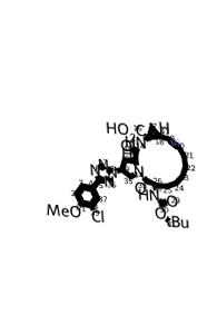 COc1ccc(-c2nnn(C3C[C@H]4C(=O)N[C@@]5(C(=O)O)C[C@H]5/C=C\CCCCC[C@@H](NC(=O)OC(C)(C)C)C(=O)N4C3)n2)cc1Cl